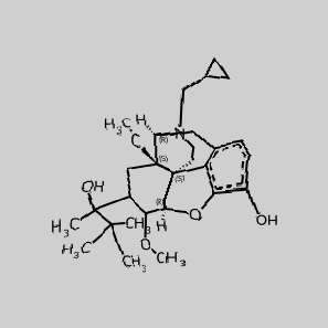 CC[C@]12CC(C(C)(O)C(C)(C)C)C(OC)[C@@H]3Oc4c(O)ccc5c4[C@@]31CCN(CC1CC1)[C@@H]2C5